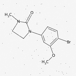 COc1cc(N2CCN(C)C2=O)ccc1Br